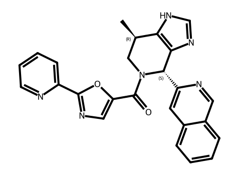 C[C@@H]1CN(C(=O)c2cnc(-c3ccccn3)o2)[C@@H](c2cc3ccccc3cn2)c2nc[nH]c21